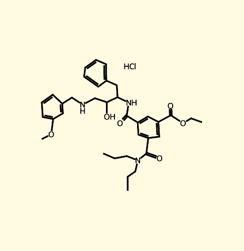 CCCN(CCC)C(=O)c1cc(C(=O)NC(Cc2ccccc2)C(O)CNCc2cccc(OC)c2)cc(C(=O)OCC)c1.Cl